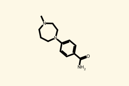 CN1CCCN(c2ccc(C(N)=O)cc2)CC1